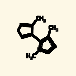 CC1=[C]CC=C1c1c(C)ccn1C